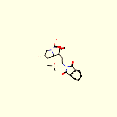 C=CC(CCN1C(=O)c2ccccc2C1=O)[C@@]1(O[SiH](C)C)C[C@H](C(C)(C)C)CN1C(=O)OC(C)(C)C